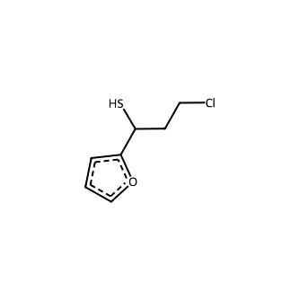 SC(CCCl)c1ccco1